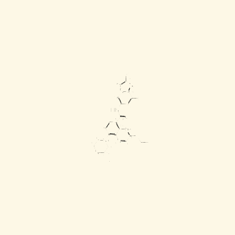 CCOc1cnc2c(N3C[C@@H](C)N[C@@H](C)C3)ccc(C(=O)Nc3cc(F)c4nc(C)cn4c3)c2n1